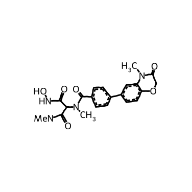 CNC(=O)C(C(=O)NO)N(C)C(=O)c1ccc(-c2ccc3c(c2)N(C)C(=O)CO3)cc1